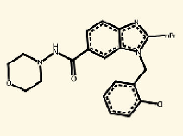 CCCc1nc2ccc(C(=O)NN3CCOCC3)cc2n1Cc1ccccc1Cl